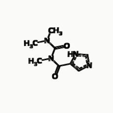 CN(C)C(=O)N(C)C(=O)c1cnc[nH]1